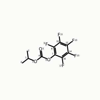 CC(C)OC(=O)Oc1c(F)c(F)c(F)c(F)c1F